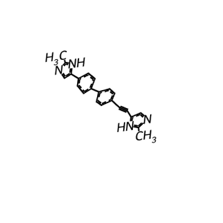 Cc1ncc(C#Cc2ccc(-c3ccc(-c4cnc(C)[nH]4)cc3)cc2)[nH]1